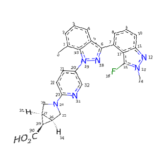 Cc1cccc2c(-c3cccc4nn(C)c(F)c34)nn(-c3ccc(N4C[C@@H]5[C@H](C4)[C@@H]5C(=O)O)nc3)c12